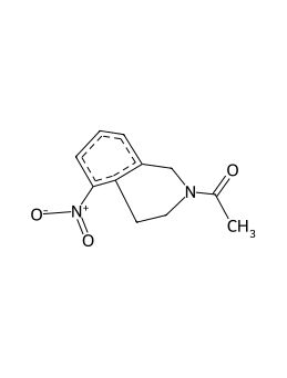 CC(=O)N1CCc2c(cccc2[N+](=O)[O-])C1